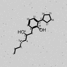 CCCSCC(O)Cc1cccc(C2CCCC2)c1O